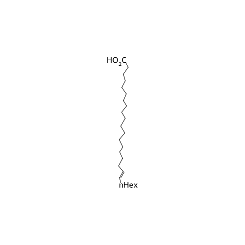 CCCCCCC=CCCCCCCCCCCCCCCCCC(=O)O